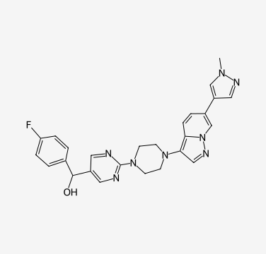 Cn1cc(-c2ccc3c(N4CCN(c5ncc(C(O)c6ccc(F)cc6)cn5)CC4)cnn3c2)cn1